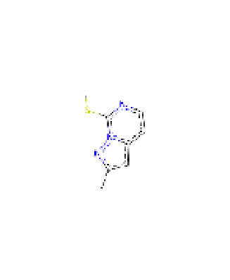 CSc1nccc2cc(C)nn12